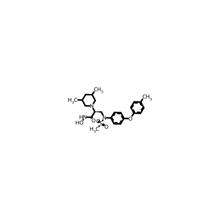 Cc1ccc(Oc2ccc(N(C[C@@H](C(=O)NO)N3CC(C)CC(C)C3)S(C)(=O)=O)cc2)cc1